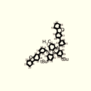 Cc1cc2c3c(c1)N(c1cccc(-c4ccc5c(c4)oc4ccccc45)c1)c1cc(C(C)(C)C)ccc1B3c1cc(C(C)(C)C)ccc1N2c1cccc(-c2ccc3c(c2)oc2ccccc23)c1